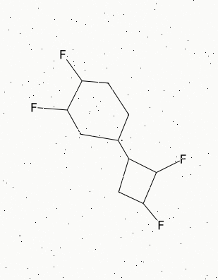 FC1CC[C](C2CC(F)C2F)CC1F